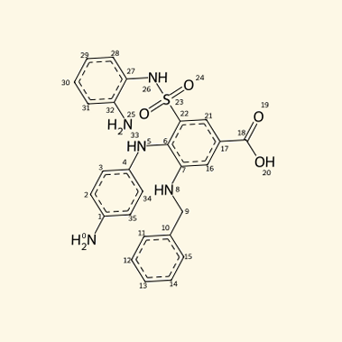 Nc1ccc(Nc2c(NCc3ccccc3)cc(C(=O)O)cc2S(=O)(=O)Nc2ccccc2N)cc1